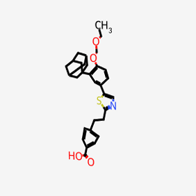 CCOCOc1ccc(-c2cnc(CCc3ccc(C(=O)O)cc3)s2)cc1C12CC3CC(CC(C3)C1)C2